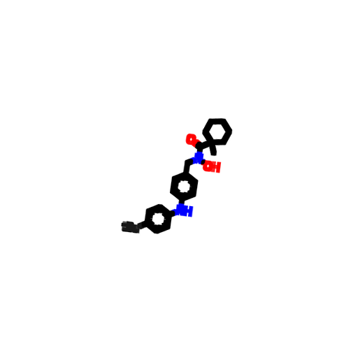 CC1(C(=O)N(O)Cc2ccc(Nc3ccc(C(C)(C)C)cc3)cc2)CCCCC1